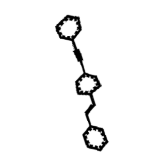 C(#Cc1ccc(C=Cc2ccccc2)cc1)c1ccccc1